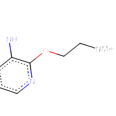 CNCCOc1ncccc1N